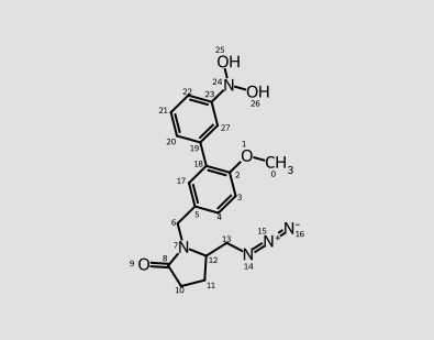 COc1ccc(CN2C(=O)CCC2CN=[N+]=[N-])cc1-c1cccc(N(O)O)c1